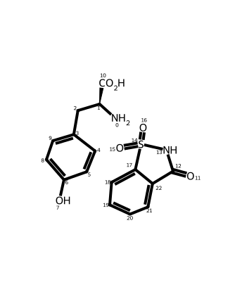 N[C@@H](Cc1ccc(O)cc1)C(=O)O.O=C1NS(=O)(=O)c2ccccc21